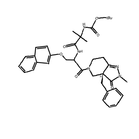 CN1N=C2CCN(C(=O)C(COc3ccc4ccccc4c3)NC(=O)C(C)(C)NC(=O)OC(C)(C)C)C[C@@]2(Cc2ccccc2)C1=O